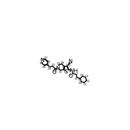 N#Cc1c(NC(=O)CCC2CCCCC2)sc2c1CCN(C(=O)CCc1ccncc1)C2